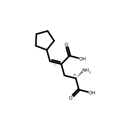 N[C@@H](C/C(=C/C1CCCC1)C(=O)O)C(=O)O